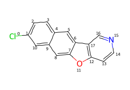 Clc1ccc2cc3c(cc2c1)oc1ccncc13